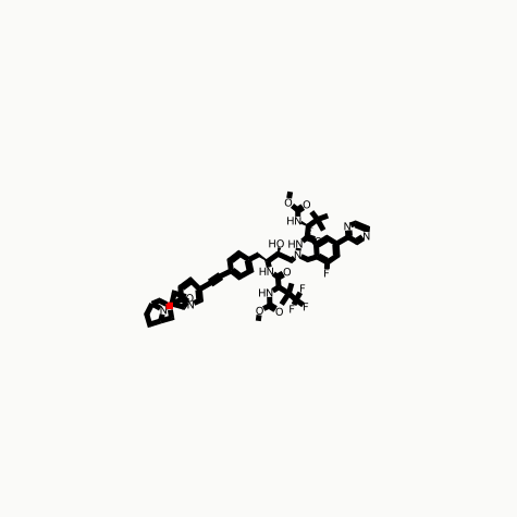 COC(=O)NC(C(=O)N[C@@H](Cc1ccc(C#Cc2ccc(N3CC4CCC(C3)N4C3COC3)nc2)cc1)[C@@H](O)CN(Cc1c(F)cc(-c2cnccn2)cc1F)NC(=O)[C@@H](NC(=O)OC)C(C)(C)C)C(C)(C)C(F)(F)F